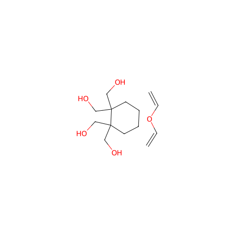 C=COC=C.OCC1(CO)CCCCC1(CO)CO